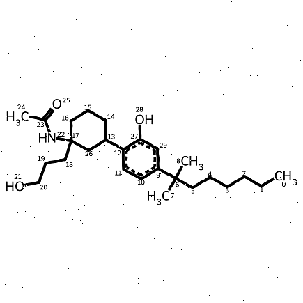 CCCCCCC(C)(C)c1ccc(C2CCCC(CCCO)(NC(C)=O)C2)c(O)c1